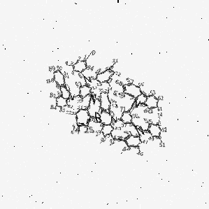 Cc1cc(C)cc(N(c2cc(C)cc(C)c2)c2cc(N3c4cc(C)ccc4B4c5ccc(C)cc5N(c5cc(N(c6cc(C)cc(C)c6)c6cc(C)cc(C)c6)cc(-n6c7ccccc7c7ccccc76)c5)c5cccc3c54)cc(-n3c4ccccc4c4ccccc43)c2)c1